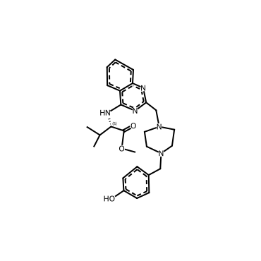 COC(=O)[C@@H](Nc1nc(CN2CCN(Cc3ccc(O)cc3)CC2)nc2ccccc12)C(C)C